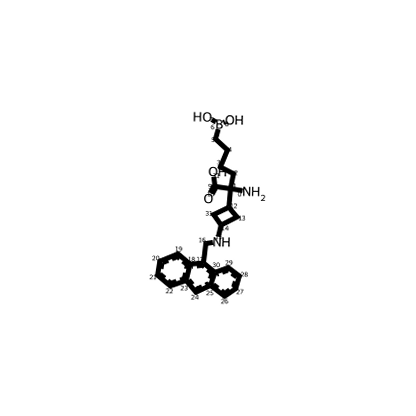 NC(CCCCB(O)O)(C(=O)O)C1CC(NCc2c3ccccc3cc3ccccc23)C1